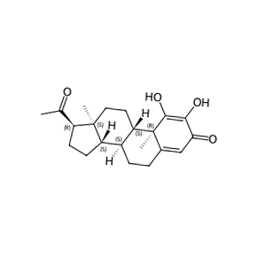 CC(=O)[C@@H]1CC[C@H]2[C@@H]3CCC4=CC(=O)C(O)=C(O)[C@]4(C)[C@H]3CC[C@]12C